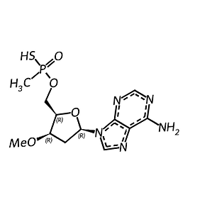 CO[C@@H]1C[C@H](n2cnc3c(N)ncnc32)O[C@@H]1COP(C)(=O)S